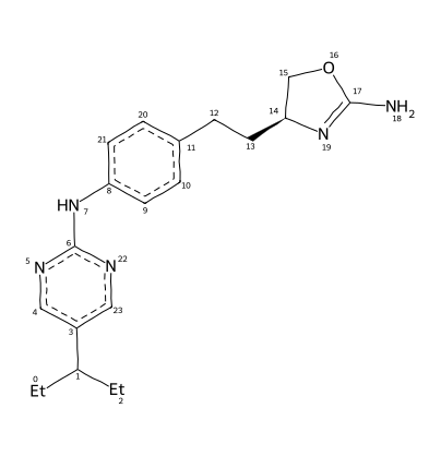 CCC(CC)c1cnc(Nc2ccc(CC[C@H]3COC(N)=N3)cc2)nc1